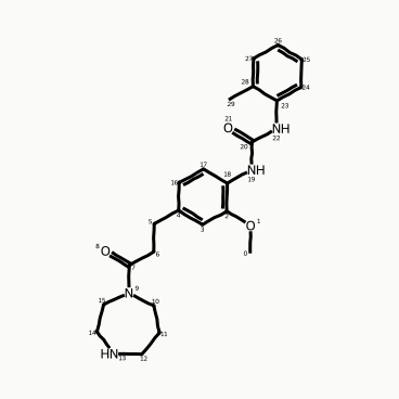 COc1cc(CCC(=O)N2CCCNCC2)ccc1NC(=O)Nc1ccccc1C